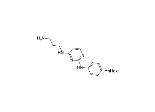 CCCCCCc1ccc(Nc2nccc(NCCCN)n2)cc1